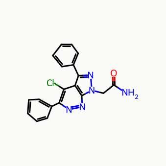 NC(=O)Cn1nc(-c2ccccc2)c2c(Cl)c(-c3ccccc3)nnc21